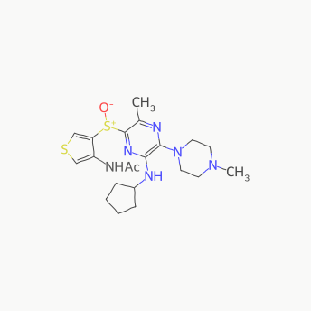 CC(=O)Nc1cscc1[S+]([O-])c1nc(NC2CCCC2)c(N2CCN(C)CC2)nc1C